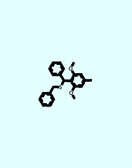 COc1cc(C)cc(OC)c1C(SCc1ccccc1)c1ccccc1